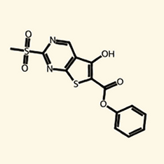 CS(=O)(=O)c1ncc2c(O)c(C(=O)Oc3ccccc3)sc2n1